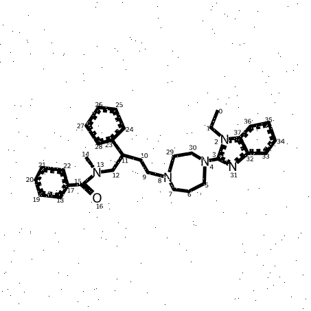 CCn1c(N2CCCN(CCC(CN(C)C(=O)c3ccccc3)c3ccccc3)CC2)nc2ccccc21